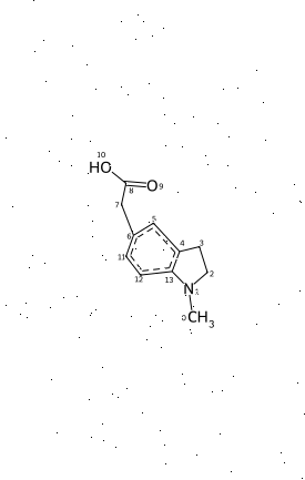 CN1CCc2cc(CC(=O)O)ccc21